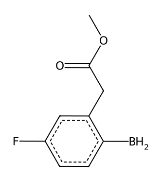 Bc1ccc(F)cc1CC(=O)OC